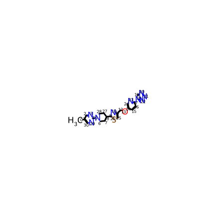 Cc1cnc(N2CCC(c3nc(COc4ccc(-n5cnnn5)nc4)cs3)CC2)nc1